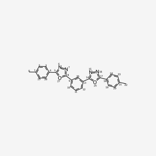 Cc1ccc(-c2nnc(-c3cccc(-c4nnc(-c5ccc(C)cc5)o4)c3)o2)cc1